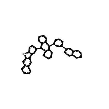 c1cc(-c2ccc3ccccc3c2)cc(-c2c3ccccc3c(-c3ccc4[nH]c5cc6ccccc6cc5c4c3)c3ccccc23)c1